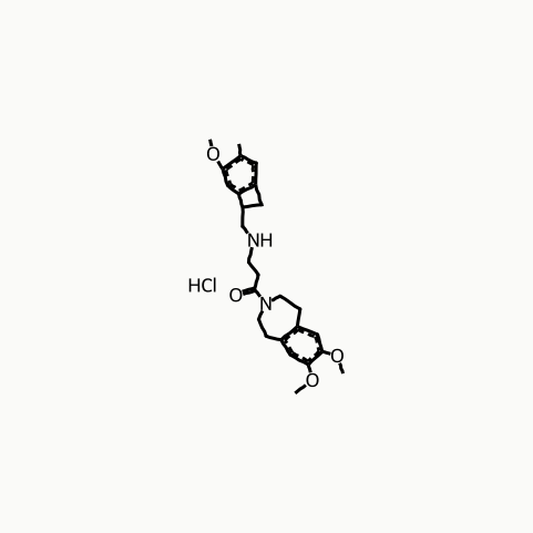 COc1cc2c(cc1C)CC2CNCCC(=O)N1CCc2cc(OC)c(OC)cc2CC1.Cl